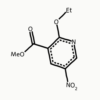 CCOc1ncc([N+](=O)[O-])cc1C(=O)OC